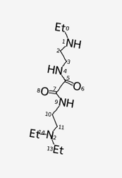 CCNCCNC(=O)C(=O)NCCN(CC)CC